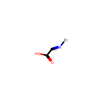 CC/N=C/C(=O)O